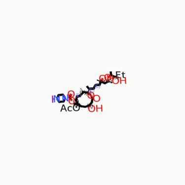 CC[C@H](O)C(C)O[C@@H](C)C[C@@](C)(O)/C=C/C=C(\C)[C@H]1OC(=O)C[C@H](O)CC[C@@](C)(OC(C)=O)[C@@H](OC(=O)N2CCN(I)CC2)/C=C/[C@@H]1C